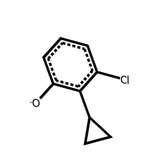 [O]c1cccc(Cl)c1C1CC1